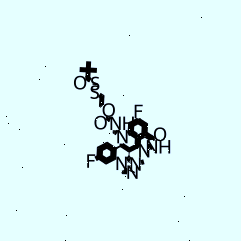 Cn1ncnc1[C@H]1c2n[nH]c(=O)c3cc(F)cc(c23)N(CNC(=O)OCCSSC(=O)C(C)(C)C)[C@@H]1c1ccc(F)cc1